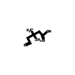 CC(C)(CC=O)CC(=O)O